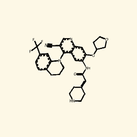 N#Cc1cnc2cc(OC3CCOC3)c(NC(=O)C=C3CCNCC3)cc2c1N1CCCc2ccc(C(F)(F)F)cc21